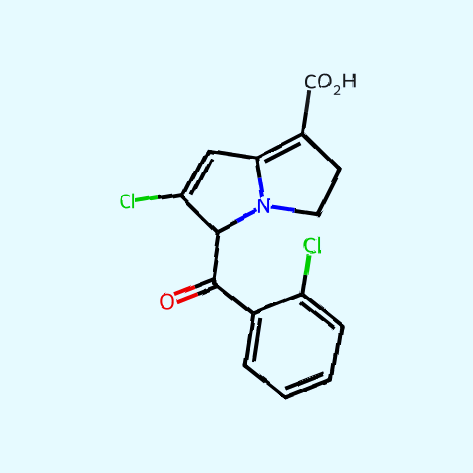 O=C(O)C1=C2C=C(Cl)C(C(=O)c3ccccc3Cl)N2CC1